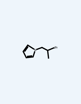 CC(C)C(C)Cn1cccc1